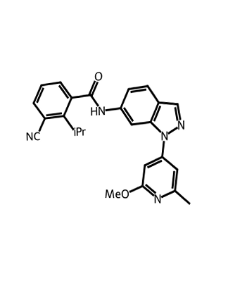 COc1cc(-n2ncc3ccc(NC(=O)c4cccc(C#N)c4C(C)C)cc32)cc(C)n1